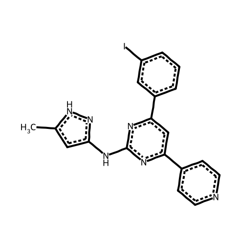 Cc1cc(Nc2nc(-c3ccncc3)cc(-c3cccc(I)c3)n2)n[nH]1